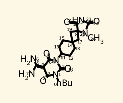 CCCCN1C(=O)C(=C(N)N)C(=O)N(C2CCC3(CC2)CC2(C3)C(=O)NC(=O)N2C)C1=O